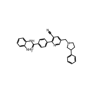 N#Cc1cc(CN2CCC(c3ccccc3)C2)cnc1-c1ccc(C(=O)Nc2ccccc2N)cc1